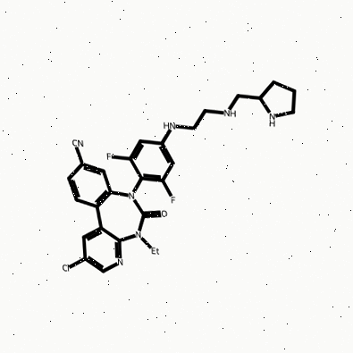 CCN1C(=O)N(c2c(F)cc(NCCNCC3CCCN3)cc2F)c2cc(C#N)ccc2-c2cc(Cl)cnc21